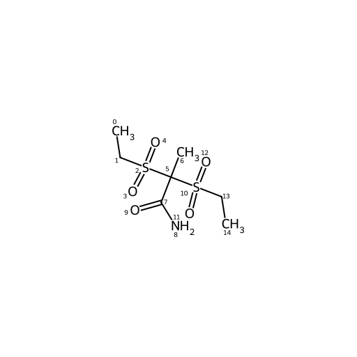 CCS(=O)(=O)C(C)(C(N)=O)S(=O)(=O)CC